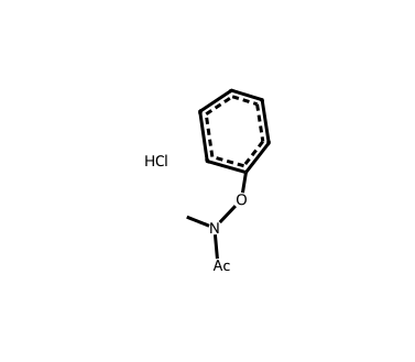 CC(=O)N(C)Oc1ccccc1.Cl